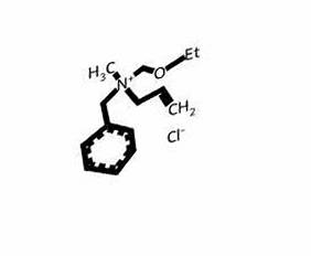 C=CC[N+](C)(COCC)Cc1ccccc1.[Cl-]